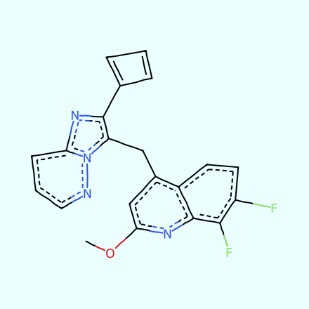 COc1cc(Cc2c(C3=CC=C3)nc3cccnn23)c2ccc(F)c(F)c2n1